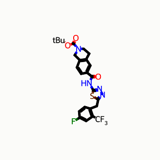 CC(C)(C)OC(=O)N1CCc2cc(C(=O)Nc3nnc(Cc4ccc(F)cc4C(F)(F)F)s3)ccc2C1